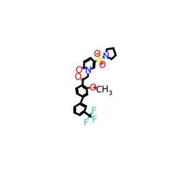 COc1cc(-c2cccc(C(F)(F)F)c2)ccc1C(=O)Cn1cc(S(=O)(=O)N2CCCC2)ccc1=O